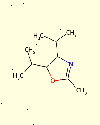 CC1=NC(C(C)C)C(C(C)C)O1